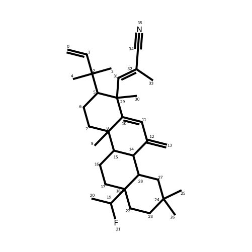 C=CC(C)(C)C1CCC2(C)C(=CC(=C)C3C2CCC2(C(C)F)CCC(C)(C)CC32)C1(C)/C=C(\C)C#N